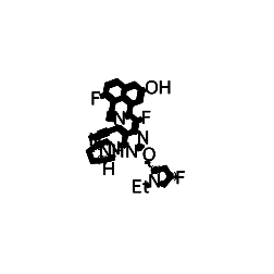 C#Cc1c(F)ccc2cc(O)cc(-c3nc(C#CC)c4c(N5C[C@H]6CC[C@@H](C5)N6)nc(OC[C@@H]5C[C@@H](F)CN5CC)nc4c3F)c12